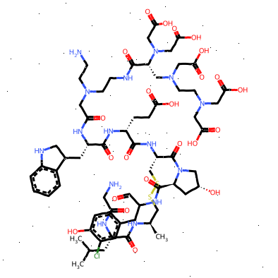 CC(C)C[C@H](NC(=O)CN)C(=O)N[C@H](C)CSSC[C@H](NC(=O)[C@@H](CCC(=O)O)NC(=O)[C@H](CC1CNc2ccccc21)NC(=O)CN(CCN)CCNC(=O)[C@@H](CN(CCN(CC(=O)O)CC(=O)O)CC(=O)O)N(CC(=O)O)CC(=O)O)C(=O)N1C[C@H](O)C[C@H]1C(=O)NC(C=O)Cc1ccc(O)c(Cl)c1